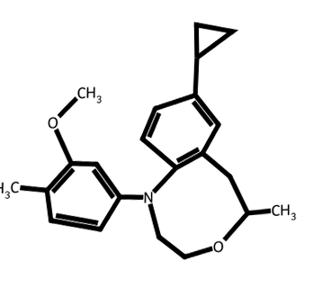 COc1cc(N2CCOC(C)Cc3cc(C4CC4)ccc32)ccc1C